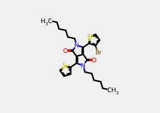 CCCCCCN1C(=O)C2=C(c3sccc3Br)N(CCCCCC)C(=O)C2=C1c1cccs1